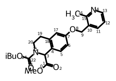 COC(=O)C1c2ccc(OCc3cccnc3C)cc2CCN1C(=O)OCC(C)C